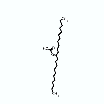 CCCCCCCCCCCC(CCCCCCCCCCC)OC(=O)O